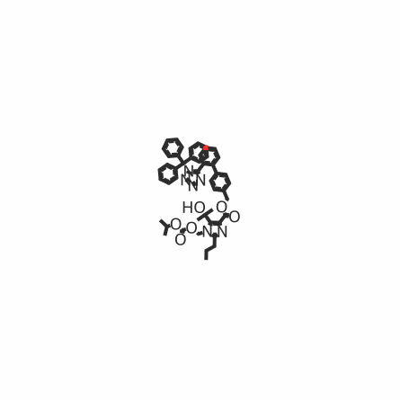 CCCc1nc(C(=O)OCc2ccc(-c3ccccc3-c3nnnn3C(c3ccccc3)(c3ccccc3)c3ccccc3)cc2)c(C(C)(C)O)n1COC(=O)OC(C)C